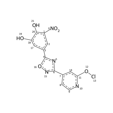 O=[N+]([O-])c1cc(-c2nc(-c3ccnc(OCl)c3)no2)cc(O)c1O